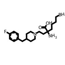 BCCCCC(N)(CCN1CCC(Cc2ccc(F)cc2)CC1)C(=O)O